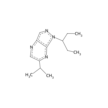 CCC(CC)n1ncc2ncc(C(C)C)nc21